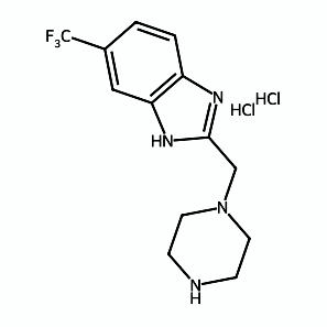 Cl.Cl.FC(F)(F)c1ccc2nc(CN3CCNCC3)[nH]c2c1